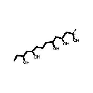 CCC(O)CC(O)CCCC(O)CC(O)C[C@H](C)O